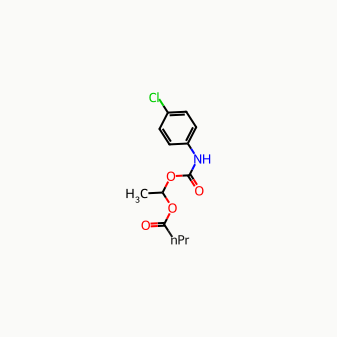 CCCC(=O)OC(C)OC(=O)Nc1ccc(Cl)cc1